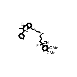 COc1ccc(C(C#N)(CCCN(C)CCSCc2cccc3c(=O)c(C)c(-c4ccccc4)oc23)C(C)C)cc1OC